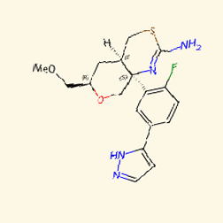 COC[C@H]1C[C@H]2CSC(N)=N[C@@]2(c2cc(-c3ccn[nH]3)ccc2F)CO1